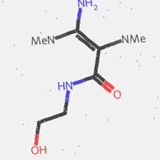 CN/C(N)=C(/NC)C(=O)NCCO